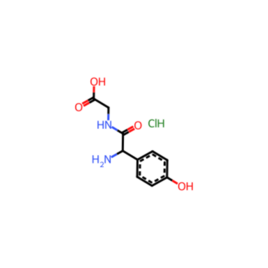 Cl.NC(C(=O)NCC(=O)O)c1ccc(O)cc1